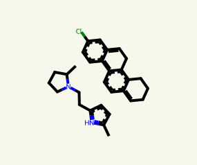 Cc1ccc(CCN2CCCC2C)[nH]1.Clc1ccc2c(c1)=CCc1c3c(ccc1=2)=CCCC3